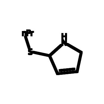 CCCSC1C=CCN1